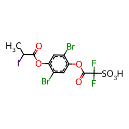 CC(I)C(=O)Oc1cc(Br)c(OC(=O)C(F)(F)S(=O)(=O)O)cc1Br